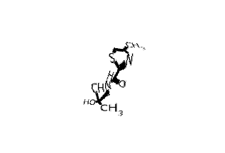 Cc1csc(C(=O)NCC(C)(C)O)n1